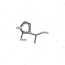 CCCCCCC(C)[n+]1cc[nH]c1C(C)CCC